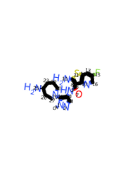 Cn1ncc(NC(=O)c2c(N)sc3cc(F)cnc23)c1N1CCC[C@@H](N)CC1